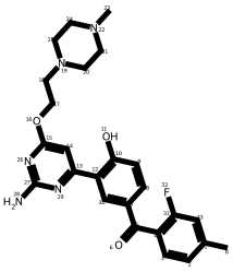 Cc1ccc(C(=O)c2ccc(O)c(-c3cc(OCCN4CCN(C)CC4)nc(N)n3)c2)c(F)c1